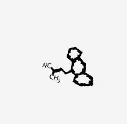 CC(C#N)=CCc1c2ccccc2cc2ccccc12